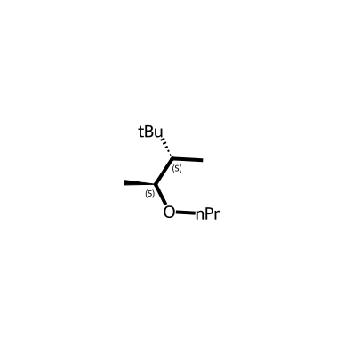 CCCO[C@@H](C)[C@@H](C)C(C)(C)C